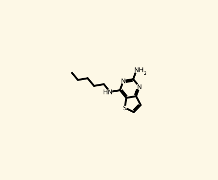 CCCCCNc1nc(N)nc2ccsc12